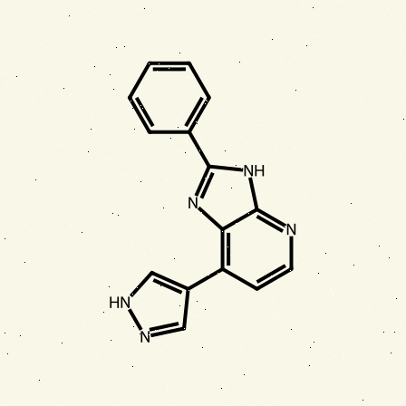 c1ccc(-c2nc3c(-c4cn[nH]c4)ccnc3[nH]2)cc1